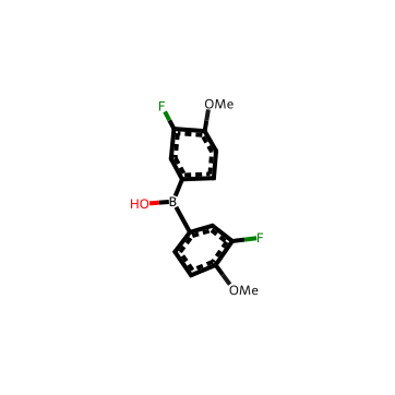 COc1ccc(B(O)c2ccc(OC)c(F)c2)cc1F